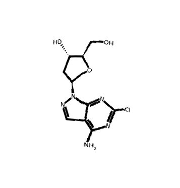 Nc1nc(Cl)nc2c1cnn2[C@H]1C[C@H](O)[C@@H](CO)O1